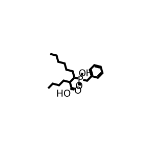 CCCCCCC(C(CCCC)C(=O)O)P(=O)(O)Cc1ccccc1